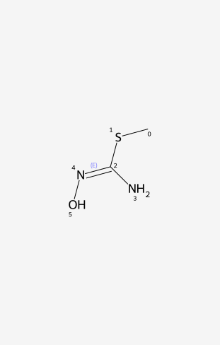 CS/C(N)=N/O